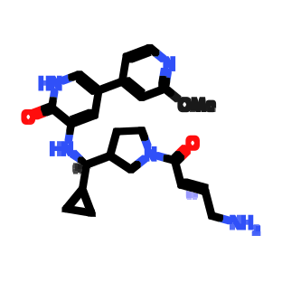 COc1cc(-c2c[nH]c(=O)c(N[C@H](C3CC3)C3CCN(C(=O)/C=C/CN)C3)c2)ccn1